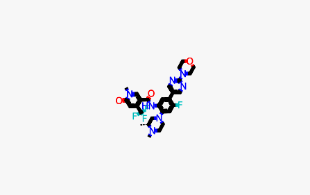 C[C@@H]1CN(c2cc(F)c(-c3cnc(N4CCOCC4)nc3)cc2NC(=O)c2cn(C)c(=O)cc2C(F)(F)F)CCN1C